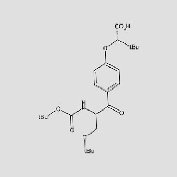 CC(C)(C)OCC(NC(=O)OC(C)(C)C)C(=O)c1ccc(O[C@H](C(=O)O)C(C)(C)C)cc1